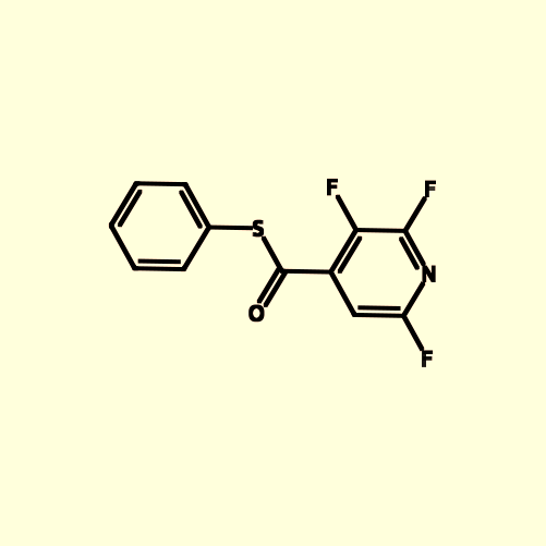 O=C(Sc1ccccc1)c1cc(F)nc(F)c1F